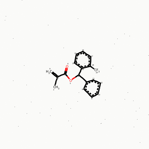 C=C(C)C(=O)OC(c1ccccc1)c1ccccc1C(F)(F)F